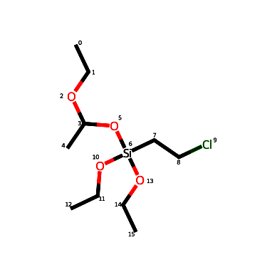 CCOC(C)O[Si](CCCl)(OCC)OCC